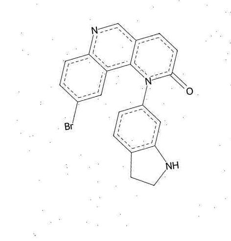 O=c1ccc2cnc3ccc(Br)cc3c2n1-c1ccc2c(c1)NCC2